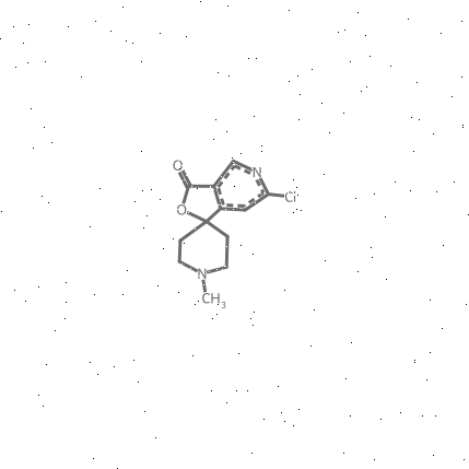 CN1CCC2(CC1)OC(=O)c1cnc(Cl)cc12